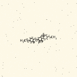 CCCC1CCC(c2ccc(OCc3ccc(OCC)cc3F)c(F)c2F)C(F)(F)C1